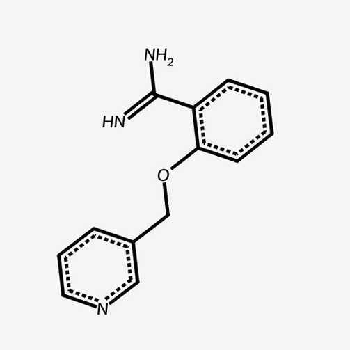 N=C(N)c1ccccc1OCc1cccnc1